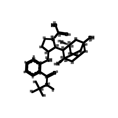 CN(C(=O)c1cccnc1NC1CCN(C(=O)O)C1C1[C@@H]2CC3C[C@H]1CC(O)(C3)C2)C(C)(C)C